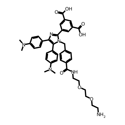 CN(C)c1ccc(-c2nc(-c3cc(C(=O)O)cc(C(=O)O)c3)n(Cc3ccc(C(=O)NCCOCCOCCN)cc3)c2-c2ccc(N(C)C)cc2)cc1